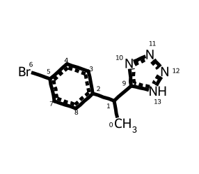 CC(c1ccc(Br)cc1)c1nnn[nH]1